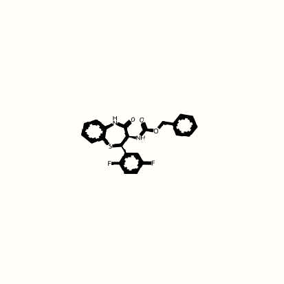 O=C(N[C@@H]1C(=O)Nc2ccccc2S[C@@H]1c1cc(F)ccc1F)OCc1ccccc1